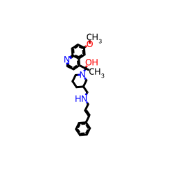 COc1ccc2nccc(C(C)(O)N3CCCC(CNCC=Cc4ccccc4)C3)c2c1